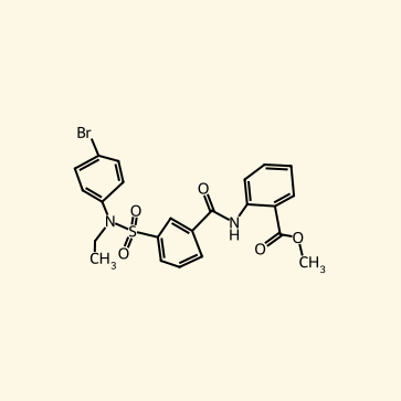 CCN(c1ccc(Br)cc1)S(=O)(=O)c1cccc(C(=O)Nc2ccccc2C(=O)OC)c1